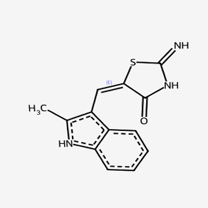 Cc1[nH]c2ccccc2c1/C=C1/SC(=N)NC1=O